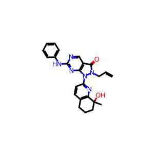 C=CCn1c(=O)c2cnc(Nc3ccccc3)nc2n1-c1ccc2c(n1)C(C)(O)CCC2